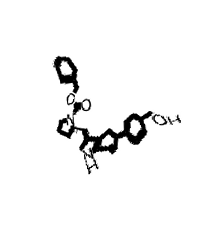 O=C(OCc1ccccc1)N1CCC[C@@H]1Cc1c[nH]c2ccc(-c3ccc(CO)cc3)cc12